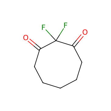 O=C1CCCCCC(=O)C1(F)F